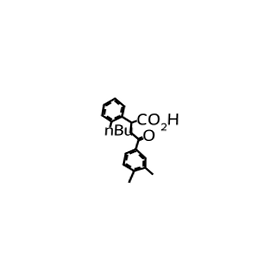 CCCCc1ccccc1C(CC(=O)c1ccc(C)c(C)c1)C(=O)O